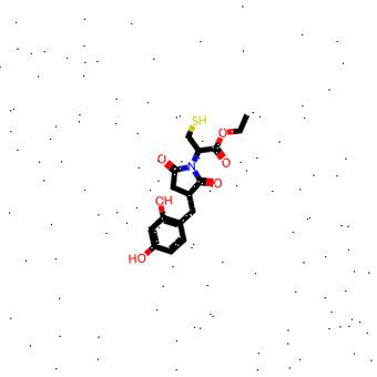 CCOC(=O)C(CS)N1C(=O)CC(Cc2ccc(O)cc2O)C1=O